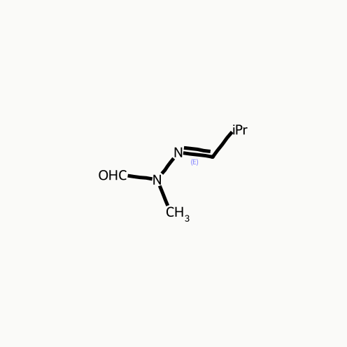 CC(C)/C=N/N(C)C=O